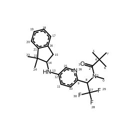 CN(C(=O)C(C)(C)C)C(c1ccc(NC2Cc3ccccc3C2(C)C)cn1)C(F)(F)F